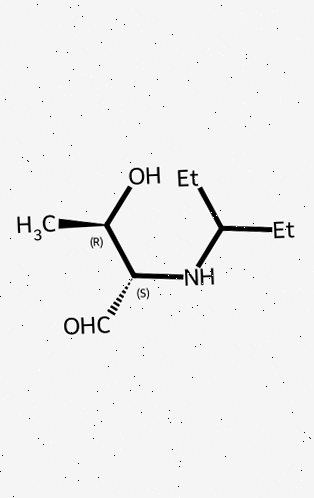 CCC(CC)N[C@H](C=O)[C@@H](C)O